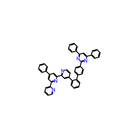 c1ccc(-c2cc(-c3ccccn3)nc(-c3cc(-c4ccccc4-c4ccc(-c5nc(-c6ccccc6)cc(-c6ccccc6)n5)cc4)ccn3)c2)cc1